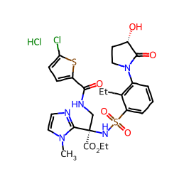 CCOC(=O)[C@](CNC(=O)c1ccc(Cl)s1)(NS(=O)(=O)c1cccc(N2CC[C@H](O)C2=O)c1CC)c1nccn1C.Cl